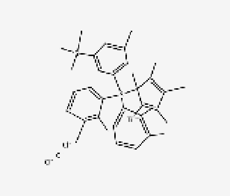 CC1=C(C)C(C)([Si](c2cc(C)cc([Si](C)(C)C)c2)(c2cccc(C)c2C)c2cccc(C)c2C)[C]([Ti+3])=C1C.[Cl-].[Cl-].[Cl-]